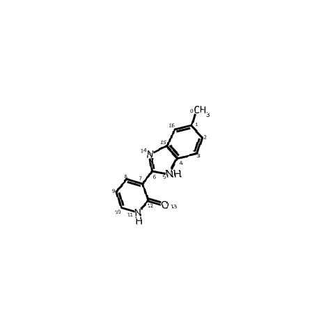 Cc1ccc2[nH]c(-c3ccc[nH]c3=O)nc2c1